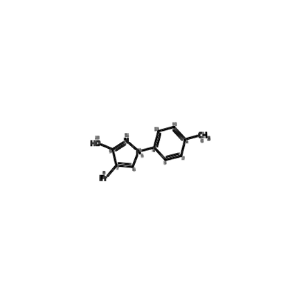 Cc1ccc(-n2cc(C(C)C)c(O)n2)cc1